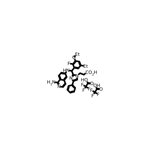 CCOc1cc(CC)cc(C(Nc2ccc3c(N)nccc3c2)c2nc(-c3ccccc3)cn2CCC(=O)O)c1F.O=C(O)C(F)(F)F.O=C(O)C(F)(F)F